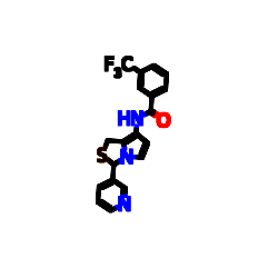 O=C(Nc1ccn2c1CSC2c1cccnc1)c1cccc(C(F)(F)F)c1